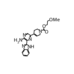 COCCOC(=O)N1CC=C(c2cnc(N)c(-c3nc4ccccc4[nH]3)n2)CC1